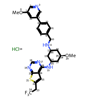 COc1cncc(-c2ccc(CN[C@@H]3C[C@H](Nc4ncnc5sc(CC(F)(F)F)cc45)C[C@H](OC)C3)cc2)c1.Cl